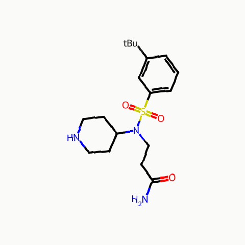 CC(C)(C)c1cccc(S(=O)(=O)N(CCC(N)=O)C2CCNCC2)c1